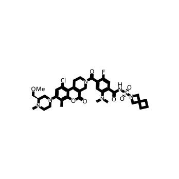 COC[C@H]1CN(c2cc(Cl)c3c4c(c(=O)oc3c2C)CN(C(=O)c2cc(N(C)C)c(C(=O)NS(=O)(=O)N3CC5(CCC5)C3)cc2F)CC4)CCN1C